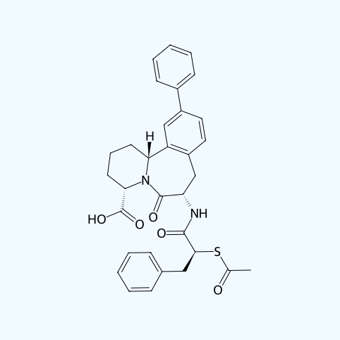 CC(=O)S[C@@H](Cc1ccccc1)C(=O)N[C@H]1Cc2ccc(-c3ccccc3)cc2[C@H]2CCC[C@@H](C(=O)O)N2C1=O